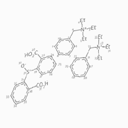 CC[N+](CC)(CC)Cc1ccccc1.CC[N+](CC)(CC)Cc1ccccc1.O=C(O)c1ccccc1[S+]([O-])c1ccccc1C(=O)O